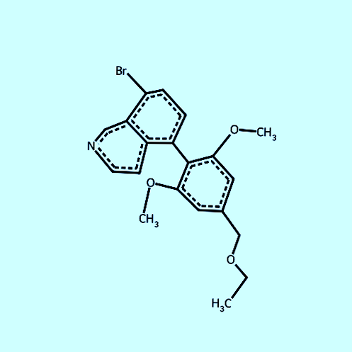 CCOCc1cc(OC)c(-c2ccc(Br)c3cnccc23)c(OC)c1